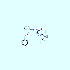 O=C(Cc1ccccc1)N1CCCC1c1nc2c(=O)[nH]c(C3(C(F)(F)F)CC3)nc2s1